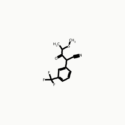 CSC(C)C(=O)C(C#N)c1cccc(C(F)(F)F)c1